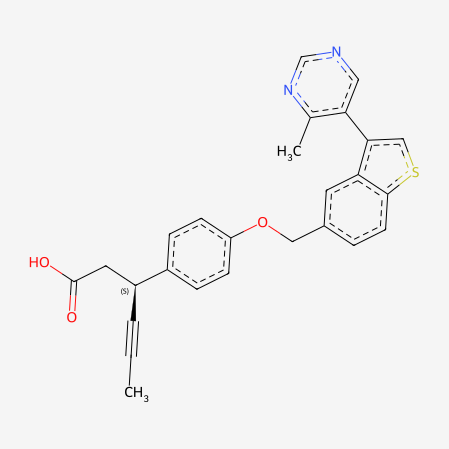 CC#C[C@@H](CC(=O)O)c1ccc(OCc2ccc3scc(-c4cncnc4C)c3c2)cc1